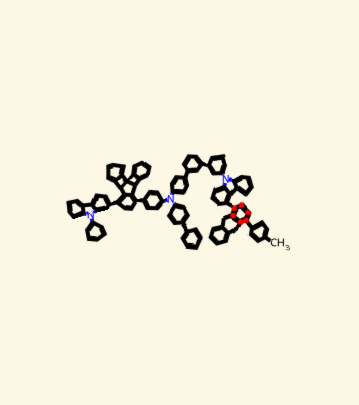 Cc1ccc(-c2ccc(-c3cccc4c3c3ccccc3n4-c3cccc(-c4cccc(-c5ccc(N(c6ccc(-c7ccccc7)cc6)c6ccc(-c7ccc(-c8ccc9c%10ccccc%10n(-c%10ccccc%10)c9c8)c8c7C7c9ccccc9C79c7ccccc7C89)cc6)cc5)c4)c3)c3c2C2c4ccccc4C3c3ccccc32)cc1